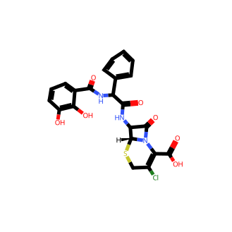 O=C(O)C1=C(Cl)CS[C@@H]2C(NC(=O)C(NC(=O)c3cccc(O)c3O)c3ccccc3)C(=O)N12